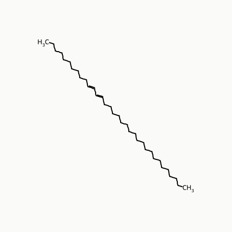 CCCCCCCCCCC=CC=CCCCCCCCCCCCCCCCCCCCC